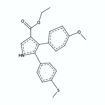 CCOC(=O)c1c[nH]c(-c2ccc(SC)cc2)c1-c1ccc(OC)cc1